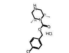 C[C@@H]1CNC[C@H](C)N1C(=O)OCc1ccc(Cl)cc1.Cl